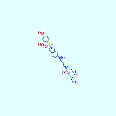 NC(=O)C[C@H](N)C(=O)NCCCNc1ccc2c(c1)CN(S(=O)(=O)c1ccc(O)cc1O)C2